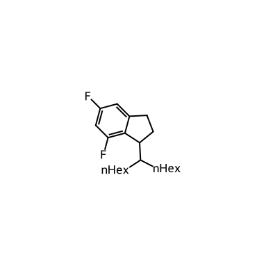 CCCCCCC(CCCCCC)C1CCc2cc(F)cc(F)c21